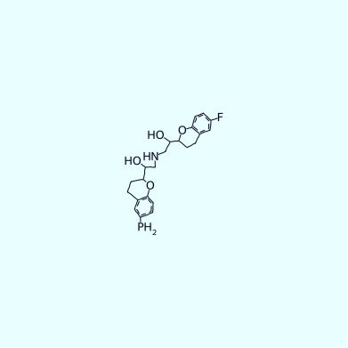 OC(CNCC(O)C1CCc2cc(P)ccc2O1)C1CCc2cc(F)ccc2O1